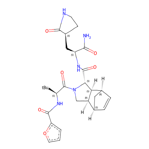 CC(C)(C)[C@H](NC(=O)c1ccco1)C(=O)N1C[C@H]2[C@@H]([C@H]1C(=O)N[C@@H](C[C@@H]1CCNC1=O)C(N)=O)[C@H]1C=C[C@@H]2C1